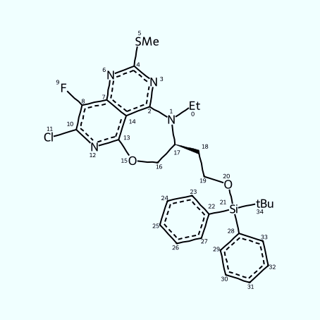 CCN1c2nc(SC)nc3c(F)c(Cl)nc(c23)OC[C@@H]1CCO[Si](c1ccccc1)(c1ccccc1)C(C)(C)C